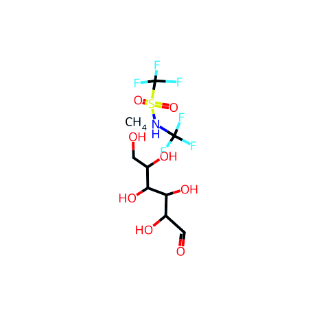 C.O=CC(O)C(O)C(O)C(O)CO.O=S(=O)(NC(F)(F)F)C(F)(F)F